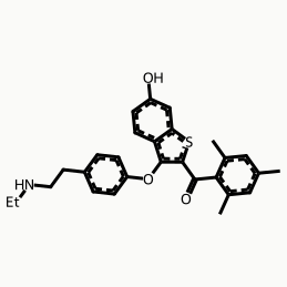 CCNCCc1ccc(Oc2c(C(=O)c3c(C)cc(C)cc3C)sc3cc(O)ccc23)cc1